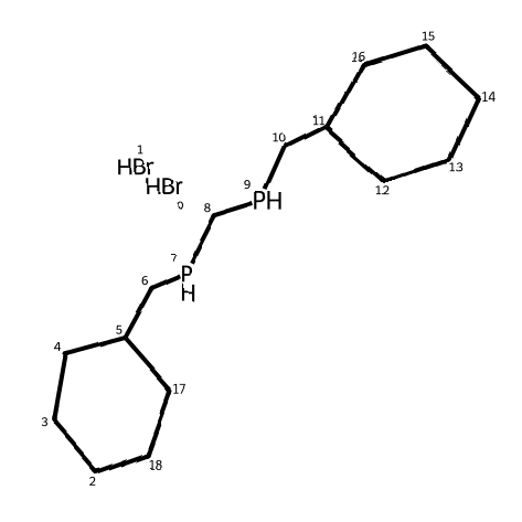 Br.Br.C1CCC(CPCPCC2CCCCC2)CC1